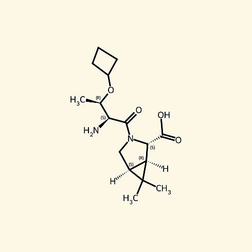 C[C@@H](OC1CCC1)[C@H](N)C(=O)N1C[C@H]2[C@@H]([C@H]1C(=O)O)C2(C)C